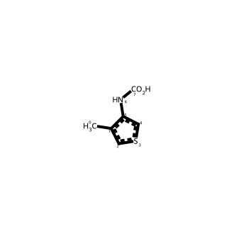 Cc1cscc1NC(=O)O